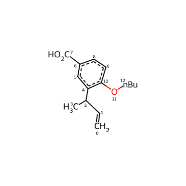 C=CC(C)c1cc(C(=O)O)ccc1OCCCC